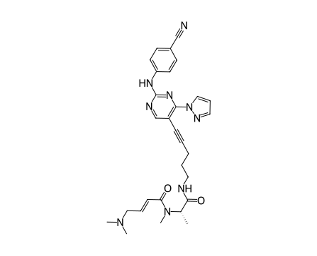 C[C@@H](C(=O)NCCCC#Cc1cnc(Nc2ccc(C#N)cc2)nc1-n1cccn1)N(C)C(=O)/C=C/CN(C)C